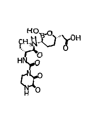 CC[C@@H](NC(=O)N1CCNC(=O)C1=O)C(=O)N[C@H]1CC[C@@H](CC(=O)O)OB1O